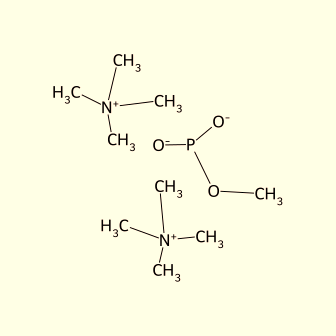 COP([O-])[O-].C[N+](C)(C)C.C[N+](C)(C)C